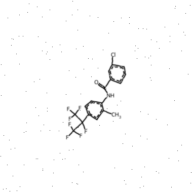 Cc1cc(C(F)(C(F)(F)F)C(F)(F)F)ccc1NC(=O)c1cccc(Cl)c1